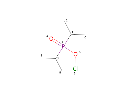 CC(C)P(=O)(OCl)C(C)C